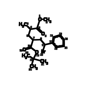 COC(=O)C(C)CC(CC(Br)c1ccccc1)C(=O)OC(C)(C)C